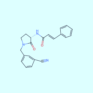 N#Cc1cccc(CN2CC[C@H](NC(=O)C=Cc3ccccc3)C2=O)c1